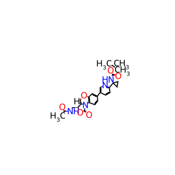 CC(=O)NC[C@@H]1OC(=O)N2c3ccc(-c4ccc(C5(NC(=O)OC(C)(C)C)CC5)nc4)cc3OC[C@@H]12